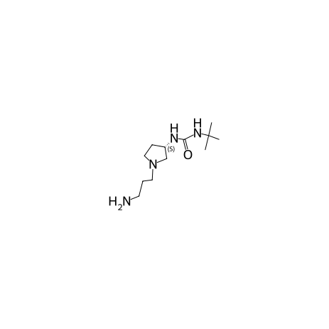 CC(C)(C)NC(=O)N[C@H]1CCN(CCCN)C1